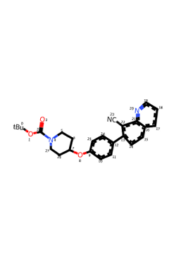 CC(C)(C)OC(=O)N1CCC(Oc2ccc(-c3ccc4cccnc4c3C#N)cc2)CC1